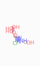 OC1CCC(CNc2nc(Cl)nn3c([C@H]4CCC(COP(O)CP(O)O)O4)cnc23)CC1